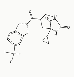 CCC(CC1(C2CC2)NC(=O)NC1=O)C(=O)N1Cc2ccc(C(F)(F)F)cc2C1